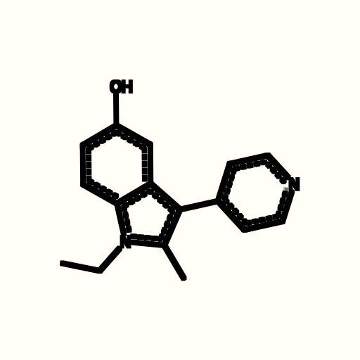 CCn1c(C)c(-c2ccncc2)c2cc(O)ccc21